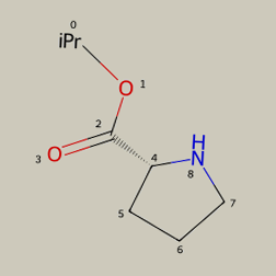 CC(C)OC(=O)[C@H]1CCCN1